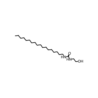 CCCCCCCCCCCCCCCCCCNC(=O)NCCO